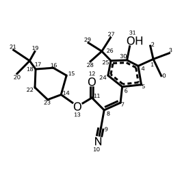 CC(C)(C)c1cc(C=C(C#N)C(=O)OC2CCC(C(C)(C)C)CC2)cc(C(C)(C)C)c1O